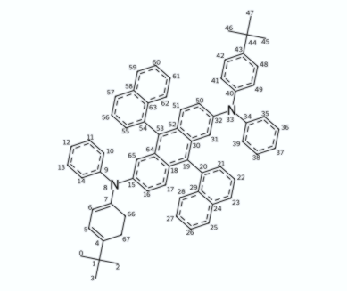 CC(C)(C)C1=CC=C(N(c2ccccc2)c2ccc3c(-c4cccc5ccccc45)c4cc(N(c5ccccc5)c5ccc(C(C)(C)C)cc5)ccc4c(-c4cccc5ccccc45)c3c2)CC1